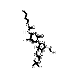 CCCCOC(=O)Nc1nc(=O)n(C2O[C@H](CO)C(OC(=O)OC(C)(C)C)C2(F)F)cc1I